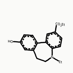 CCOC(=O)c1ccc2c(c1)-c1ccc(O)cc1CCN2CC